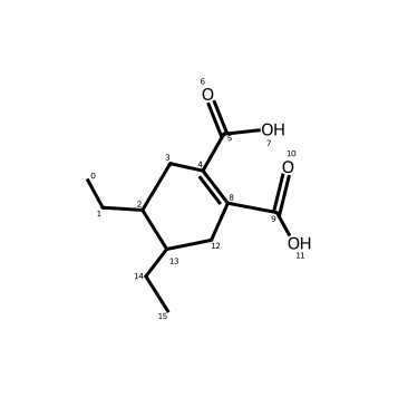 CCC1CC(C(=O)O)=C(C(=O)O)CC1CC